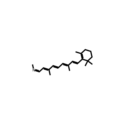 C\N=C/C=C(C)/C=C/C=C(C)/C=C/C1=C(C)CCCC1(C)C